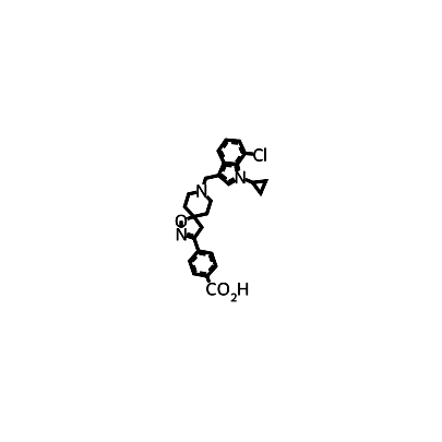 O=C(O)c1ccc(C2=NOC3(CCN(Cc4cn(C5CC5)c5c(Cl)cccc45)CC3)C2)cc1